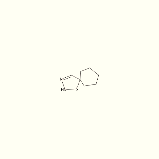 C1=NNSC12CCCCC2